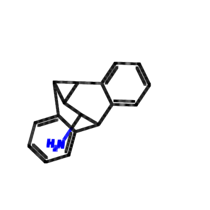 NC1C2c3ccccc3C3C(c4ccccc42)C13